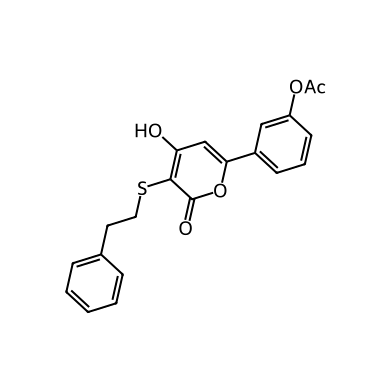 CC(=O)Oc1cccc(-c2cc(O)c(SCCc3ccccc3)c(=O)o2)c1